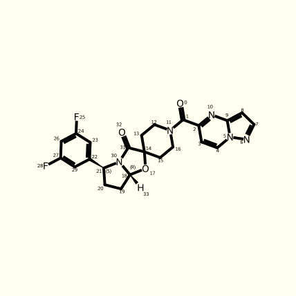 O=C(c1ccn2nccc2n1)N1CCC2(CC1)O[C@@H]1CC[C@@H](c3cc(F)cc(F)c3)N1C2=O